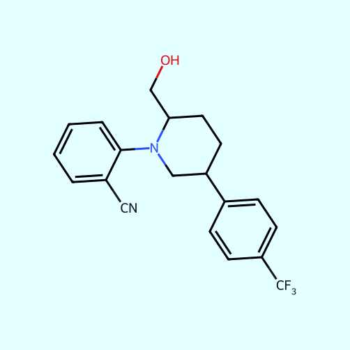 N#Cc1ccccc1N1CC(c2ccc(C(F)(F)F)cc2)CCC1CO